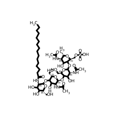 CCCCCCCCCCCCCCCC(=O)N[C@H]1C(OC2C(O)[C@@H](NC(C)=O)[C@H](OC3C(O)[C@@H](NC(C)=O)C(OC4C(O)[C@@H](NC(C)=O)[C@H](C)O[C@H]4COS(=O)(=O)O)O[C@@H]3CO)O[C@H]2CO)O[C@H](CO)C(O)C1O